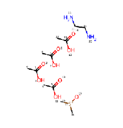 CC(=O)O.CC(=O)O.CC(=O)O.CC(=O)O.C[S+](C)[O-].NCCN